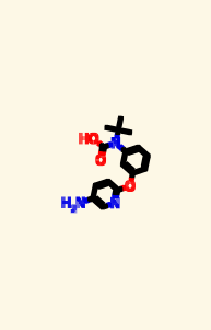 CC(C)(C)N(C(=O)O)c1cccc(Oc2ccc(N)cn2)c1